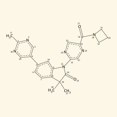 Cc1ncc(-c2ccc3c(c2)N(c2cnc(C(=O)N4CCC4)cn2)C(=O)C3(C)C)cn1